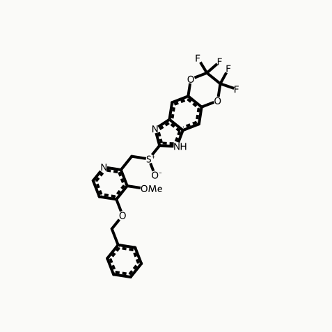 COc1c(OCc2ccccc2)ccnc1C[S+]([O-])c1nc2cc3c(cc2[nH]1)OC(F)(F)C(F)(F)O3